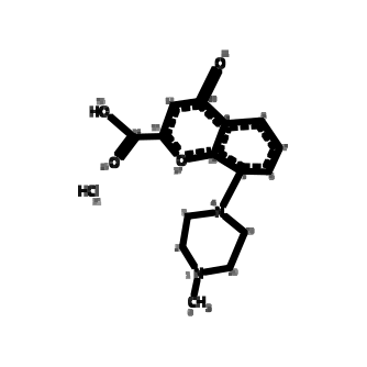 CN1CCN(c2cccc3c(=O)cc(C(=O)O)oc23)CC1.Cl